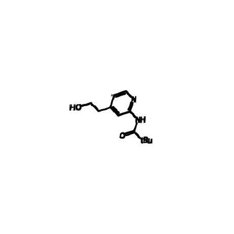 CC(C)(C)C(=O)Nc1cc(CCO)[c]cn1